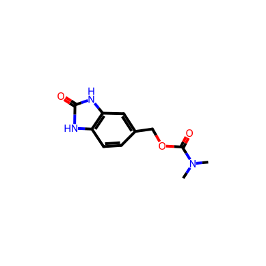 CN(C)C(=O)OCc1ccc2[nH]c(=O)[nH]c2c1